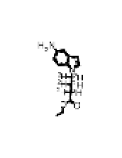 [2H]C([2H])(C(=O)OCC)C([2H])([2H])C([2H])([2H])n1ccc2cc(N)ccc21